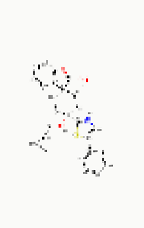 O=C(O)[C@]1(c2ccccc2)CC[C@](OCC2CC2)(c2ncc(-c3ccccc3)s2)CC1